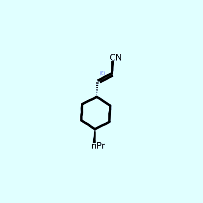 CCC[C@H]1CC[C@H](/C=C/C#N)CC1